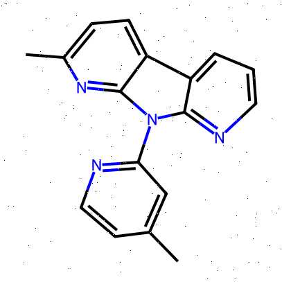 Cc1ccnc(-n2c3ncccc3c3ccc(C)nc32)c1